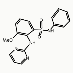 COc1cccc(S(=O)(=O)Nc2ccccc2)c1Nc1ncccn1